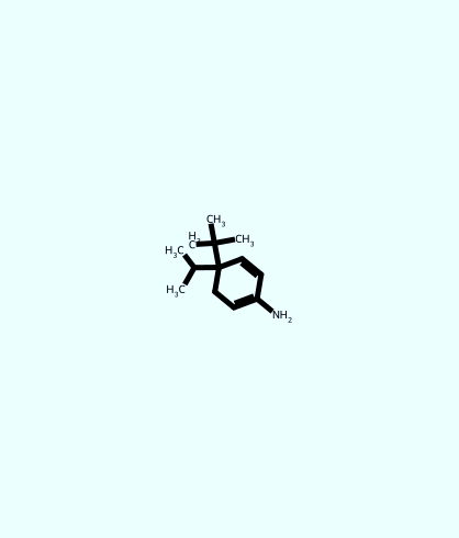 CC(C)C1(C(C)(C)C)C=CC(N)=CC1